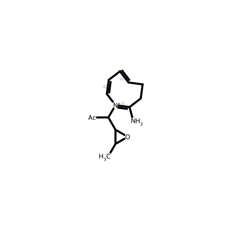 CC(=O)C(C1OC1C)[N+]1=C(\N)CC/C=C/C=C\1